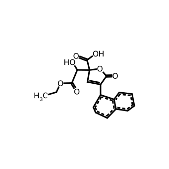 CCOC(=O)C(O)C1(C(=O)O)C=C(c2cccc3ccccc23)C(=O)O1